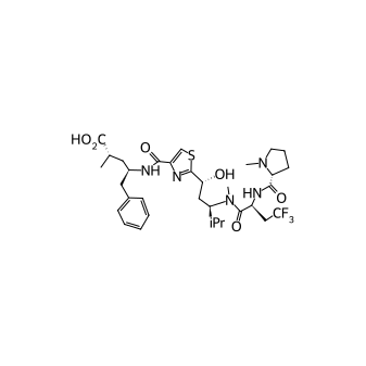 CC(C)[C@@H](C[C@@H](O)c1nc(C(=O)N[C@@H](Cc2ccccc2)C[C@H](C)C(=O)O)cs1)N(C)C(=O)[C@H](CC(F)(F)F)NC(=O)[C@H]1CCCN1C